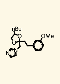 CCCCC1COC(CCc2cccc(OC)c2)(Cn2ccnc2)O1